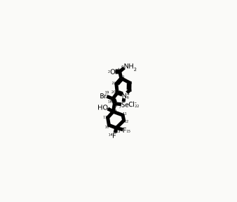 NC(=O)c1cc[n+]2[se]c(C3(O)CCC(F)(F)CC3)c(Br)c2c1.[Cl-]